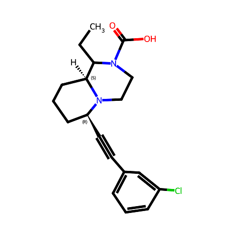 CCC1[C@@H]2CCC[C@H](C#Cc3cccc(Cl)c3)N2CCN1C(=O)O